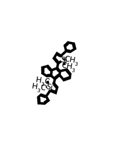 C[Si]1(C)C(c2ccccc2)=CC=C1c1c2ccccc2c(C2=CC=C(c3ccccc3)[Si]2(C)C)c2ccccc12